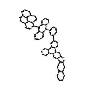 c1cc(-c2ccc3c(c2)c2ccccc2c2cc4c(cc32)oc2cc3ccccc3cc24)cc(-c2c3ccccc3c(-c3ccc4ccc5cccc6ccc3c4c56)c3ccccc23)c1